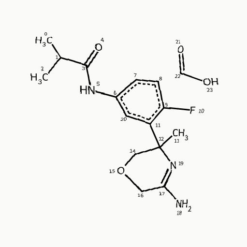 CC(C)C(=O)Nc1ccc(F)c(C2(C)COCC(N)=N2)c1.O=CO